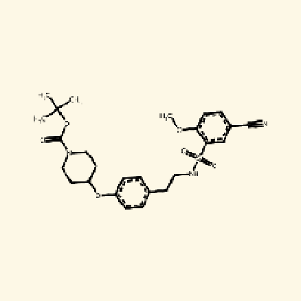 COc1ccc(C#N)cc1S(=O)(=O)NCCc1ccc(OC2CCN(C(=O)OC(C)(C)C)CC2)cc1